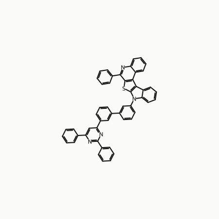 c1ccc(-c2cc(-c3cccc(-c4cccc(-n5c6ccccc6c6c7c(sc65)c(-c5ccccc5)nc5ccccc57)c4)c3)nc(-c3ccccc3)n2)cc1